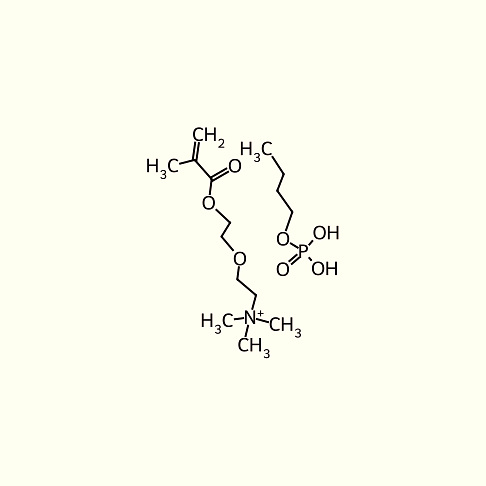 C=C(C)C(=O)OCCOCC[N+](C)(C)C.CCCCOP(=O)(O)O